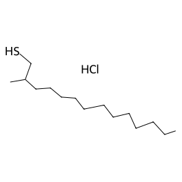 CCCCCCCCCCCCC(C)CS.Cl